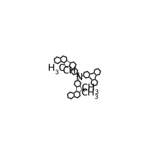 CC1(C)c2cc(N(c3ccc4c5c(ccc4c3)-c3ccc4ccccc4c3C5(C)C)c3ccc4c5ccccc5c5ccccc5c4c3)ccc2-c2c1ccc1ccccc21